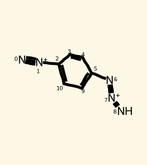 N#[N+]c1ccc(N=[N+]=N)cc1